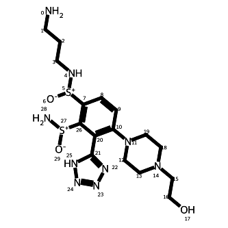 NCCCN[S+]([O-])c1ccc(N2CCN(CCO)CC2)c(-c2nnn[nH]2)c1[S+](N)[O-]